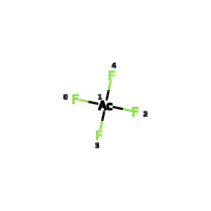 [F][Ac]([F])([F])[F]